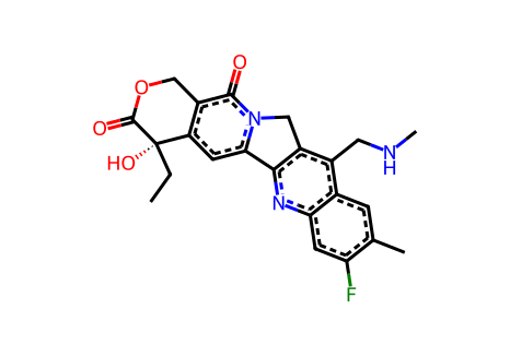 CC[C@@]1(O)C(=O)OCc2c1cc1n(c2=O)Cc2c-1nc1cc(F)c(C)cc1c2CNC